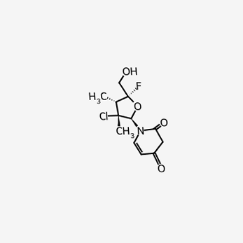 C[C@H]1[C@@](C)(Cl)[C@H](N2C=CC(=O)CC2=O)O[C@]1(F)CO